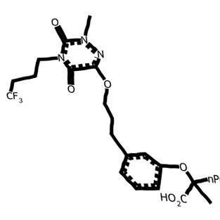 CCCC(C)(Oc1cccc(CCCOc2nn(C)c(=O)n(CCCC(F)(F)F)c2=O)c1)C(=O)O